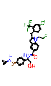 O=C(NC(CO)c1ccc(SNC2CC2)cc1)c1ccc2c(c1)cc(CC1CC=C(Cl)C=C1C(F)(F)F)n2CCF